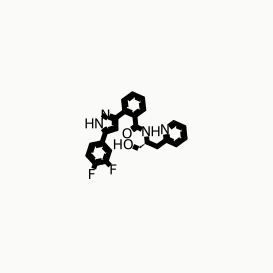 O=C(N[C@@H](CO)Cc1ccccn1)c1ccccc1-c1cc(-c2ccc(F)c(F)c2)[nH]n1